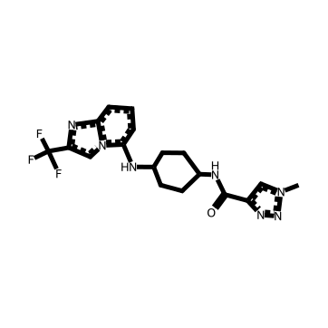 Cn1cc(C(=O)NC2CCC(Nc3cccc4nc(C(F)(F)F)cn34)CC2)nn1